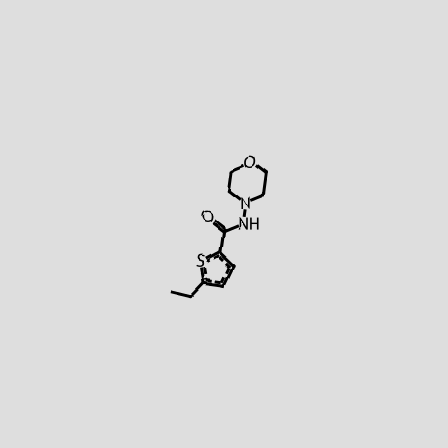 CCc1ccc(C(=O)NN2CCOCC2)s1